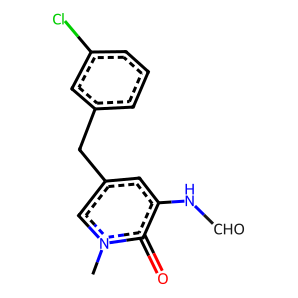 Cn1cc(Cc2cccc(Cl)c2)cc(NC=O)c1=O